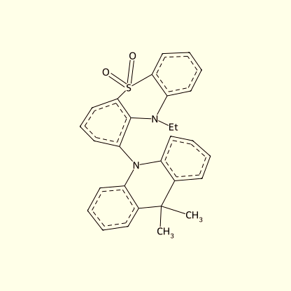 CCN1c2ccccc2S(=O)(=O)c2cccc(N3c4ccccc4C(C)(C)c4ccccc43)c21